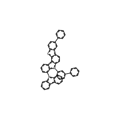 c1ccc(-c2cccc(-n3c4ccc5c6cc(-c7ccccc7)ccc6sc5c4c4cccc(-n5c6ccccc6c6ccccc65)c43)c2)cc1